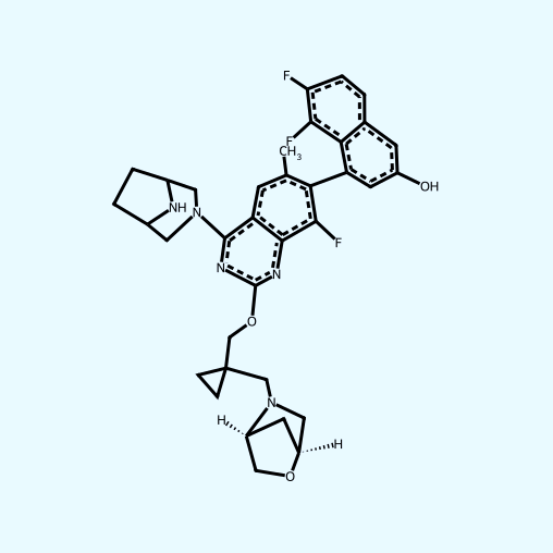 Cc1cc2c(N3CC4CCC(C3)N4)nc(OCC3(CN4C[C@@H]5C[C@H]4CO5)CC3)nc2c(F)c1-c1cc(O)cc2ccc(F)c(F)c12